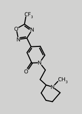 CN1CCCCC1CCn1ccc(-c2noc(C(F)(F)F)n2)cc1=O